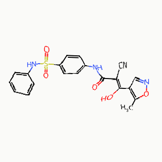 Cc1oncc1/C(O)=C(\C#N)C(=O)Nc1ccc(S(=O)(=O)Nc2ccccc2)cc1